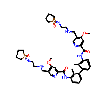 COc1cc(C(=O)Nc2cccc(-c3cccc(NC(=O)c4cc(OC)c(CNCCN=S5(=O)CCCC5)cn4)c3C)c2C)ncc1CNCCN=S1(=O)CCCC1